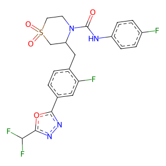 O=C(Nc1ccc(F)cc1)N1CCS(=O)(=O)CC1Cc1ccc(-c2nnc(C(F)F)o2)cc1F